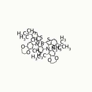 Cc1cc2c3c(c1)N(c1c(C)cc4c(c1C)OCCCO4)c1c(sc4ccc(C(C)(C)C)cc14)B3c1sc3ccc(C(C)(C)C)cc3c1N2c1c(C)cc2c(c1C)OCCCO2